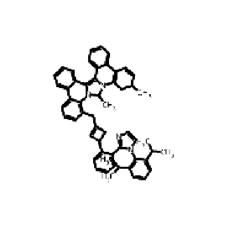 CC1C=CC2=C(C1)N1C(=C3c4ccccc4-c4cccc(CC5=CC(c6ccccc6-c6nccn6-c6c(C(C)C)cccc6C(C)C)C5)c4N3C1C)c1ccccc12